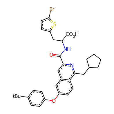 CC(C)(C)c1ccc(Oc2ccc3c(CC4CCCC4)nc(C(=O)NC(Cc4ccc(Br)s4)C(=O)O)cc3c2)cc1